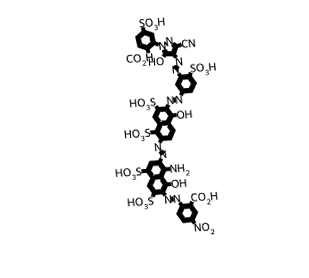 N#Cc1nn(-c2cc(S(=O)(=O)O)ccc2C(=O)O)c(O)c1/N=N/c1cc(N=Nc2c(S(=O)(=O)O)cc3c(S(=O)(=O)O)c(N=Nc4cc(S(=O)(=O)O)c5cc(S(=O)(=O)O)c(N=Nc6ccc([N+](=O)[O-])cc6C(=O)O)c(O)c5c4N)ccc3c2O)ccc1S(=O)(=O)O